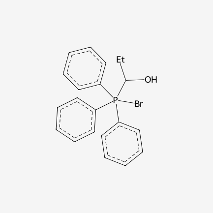 CCC(O)P(Br)(c1ccccc1)(c1ccccc1)c1ccccc1